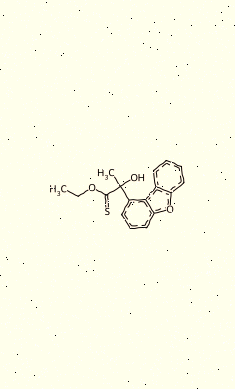 CCOC(=S)C(C)(O)c1cccc2oc3ccccc3c12